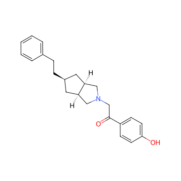 O=C(CN1C[C@H]2C[C@@H](CCc3ccccc3)C[C@H]2C1)c1ccc(O)cc1